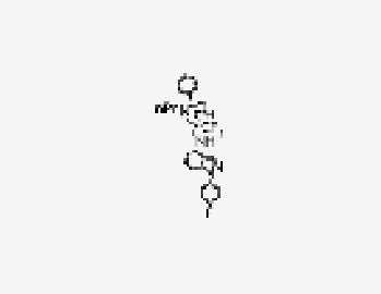 CCCN(CC(O)(CNc1cccc2c1cnn2-c1ccc(F)cc1)C(F)(F)F)C(=O)c1ccccc1